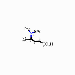 CC(=O)C(CCC(=O)O)N(C(C)C)C(C)C